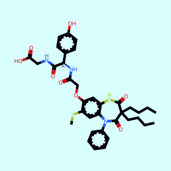 CCCCC1(CCCC)C(=O)[SH]c2cc(OCC(=O)N[C@@H](C(=O)NCC(=O)O)c3ccc(O)cc3)c(SC)cc2N(c2ccccc2)C1=O